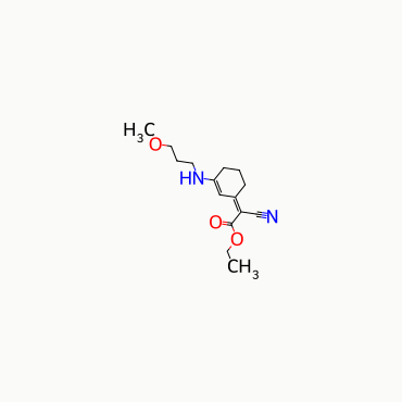 CCOC(=O)/C(C#N)=C1\C=C(NCCCOC)CCC1